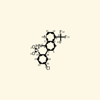 O=S1(=O)Nc2c(ccc3c(C(F)(F)F)ccnc23)-c2cc(Cl)ccc21